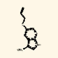 C=CCOc1cnc2[nH]cc(C=O)c2c1